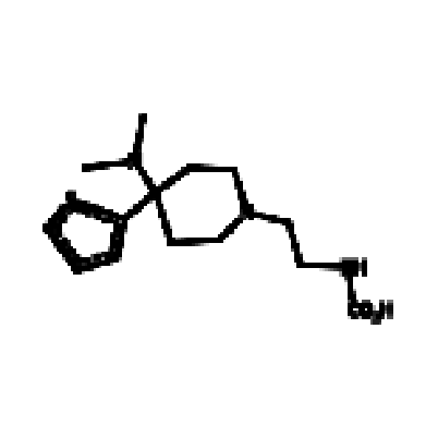 CN(C)C1(c2cccs2)CCN(CCNC(=O)O)CC1